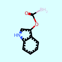 BC(=O)Oc1c[nH]c2ccccc12